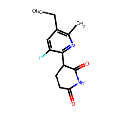 Cc1nc(C2CCC(=O)NC2=O)c(F)cc1CC=O